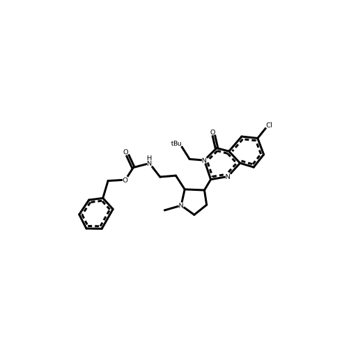 CN1CCC(c2nc3ccc(Cl)cc3c(=O)n2CC(C)(C)C)C1CCNC(=O)OCc1ccccc1